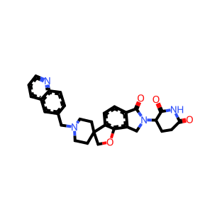 O=C1CCC(N2Cc3c(ccc4c3OCC43CCN(Cc4ccc5ncccc5c4)CC3)C2=O)C(=O)N1